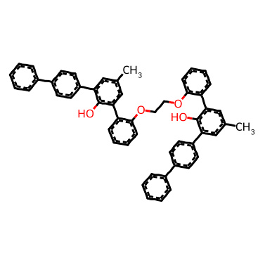 Cc1cc(-c2ccc(-c3ccccc3)cc2)c(O)c(-c2ccccc2OCCOc2ccccc2-c2cc(C)cc(-c3ccc(-c4ccccc4)cc3)c2O)c1